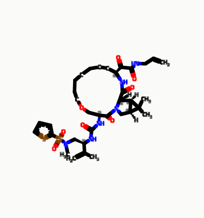 C=CCNC(=O)C(=O)[C@@H]1CCCCCCCOC[C@H](NC(=O)N[C@H](CN(C)S(=O)(=O)c2cccs2)C(=C)C)C(=O)N2C[C@H]3[C@@H]([C@H]2C(=O)N1)C3(C)C